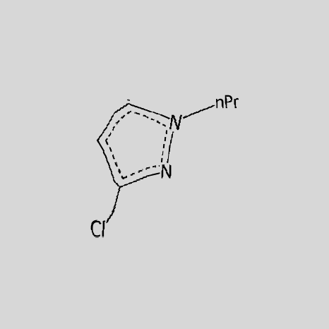 CCCn1[c]cc(Cl)n1